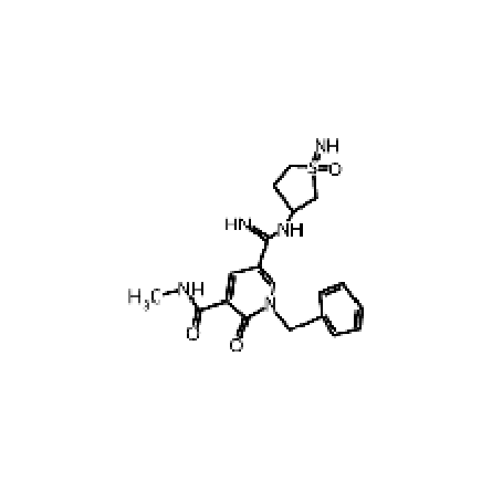 CNC(=O)c1cc(C(=N)NC2CCS(=N)(=O)C2)cn(Cc2ccccc2)c1=O